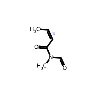 C/C=C\C(=O)N(C)C=O